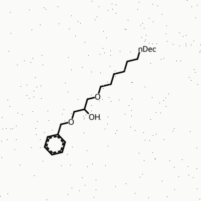 CCCCCCCCCCCCCCCCOCC(O)COCc1ccccc1